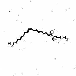 CCCCCCCC/C=C\CCCCCCCC(=O)N(N)CCC